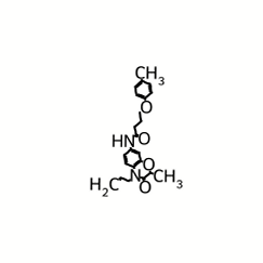 C=CCN1C(=O)C(C)Oc2cc(NC(=O)CCCOc3ccc(C)cc3)ccc21